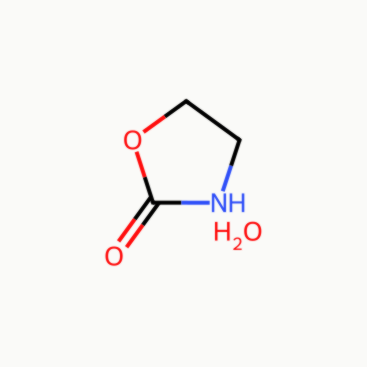 O.O=C1NCCO1